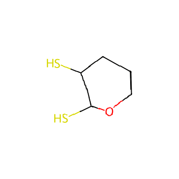 SC1CCCOC1S